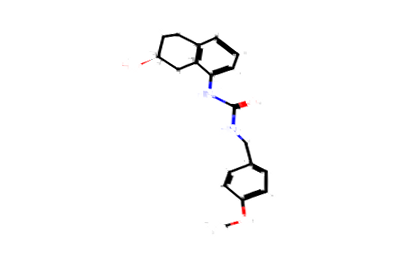 O=C(NCc1ccc(OC(F)(F)F)cc1)Nc1cccc2c1C[C@@H](O)CC2